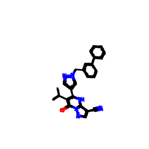 CC(C)c1c(-c2cnn(Cc3cccc(-c4ccccc4)c3)c2)[nH]c2c(C#N)cnn2c1=O